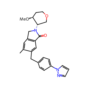 CO[C@H]1CCOC[C@@H]1N1Cc2cc(C)c(Cc3ccc(-n4cccn4)cc3)cc2C1=O